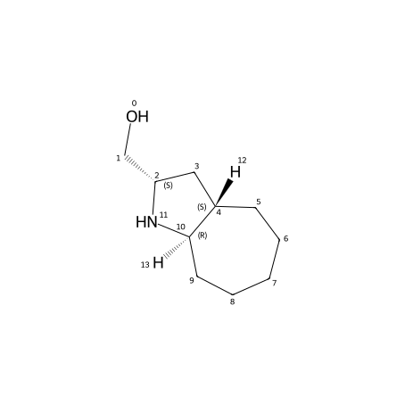 OC[C@@H]1C[C@@H]2CCCCC[C@H]2N1